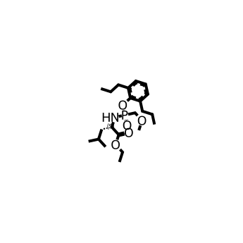 CCCc1cccc(CCC)c1OP(=O)(COC)N[C@@H](CC(C)C)C(=O)OCC